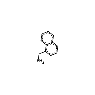 PCc1cccc2ccccc12